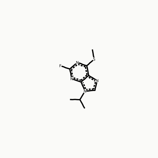 CSc1nc(F)nc2c1ncn2C(C)C